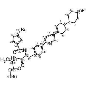 CCCC1CCC(C2CC=C(c3cnc(-c4ccc(CC(NC(=O)c5ccc(C(C)(C)C)s5)C(=O)N[C@H](C)C(=O)OC(C)(C)C)cc4)nc3)CC2)CC1